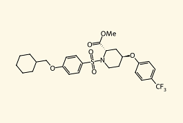 COC(=O)[C@@H]1C[C@@H](Oc2ccc(C(F)(F)F)cc2)CCN1S(=O)(=O)c1ccc(OCC2CCCCC2)cc1